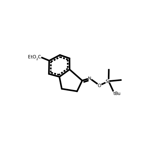 CCOC(=O)c1ccc2c(c1)CCC2=NO[Si](C)(C)C(C)(C)C